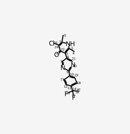 Cc1[nH]c(C)c(-c2cnc(-c3ccc(C(F)(F)F)cc3)nc2)c(=O)c1Cl